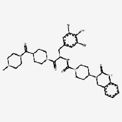 CN1CCN(C(=O)C2CCN(C(=O)[C@@H](Cc3cc(Br)c(O)c(Br)c3)NC(=O)N3CCC(N4Cc5ccccc5NC4=O)CC3)CC2)CC1